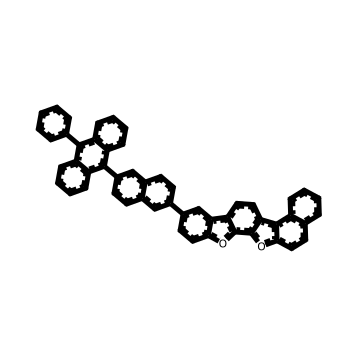 c1ccc(-c2c3ccccc3c(-c3ccc4cc(-c5ccc6oc7c(ccc8c7oc7ccc9ccccc9c78)c6c5)ccc4c3)c3ccccc23)cc1